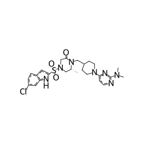 C[C@@H]1CN(S(=O)(=O)c2cc3ccc(Cl)cc3[nH]2)CC(=O)N1CC1CCN(c2ccnc(N(C)C)n2)CC1